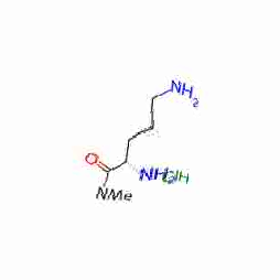 CNC(=O)[C@@H](N)CCCN.Cl